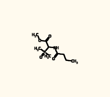 CCCC(=O)NC(C(=O)OC)P(C)(C)=O